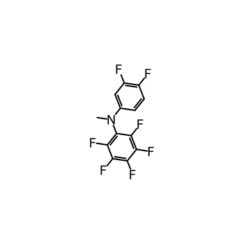 CN(c1ccc(F)c(F)c1)c1c(F)c(F)c(F)c(F)c1F